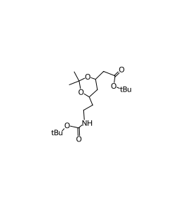 CC(C)(C)OC(=O)CC1CC(CCNC(=O)OC(C)(C)C)OC(C)(C)O1